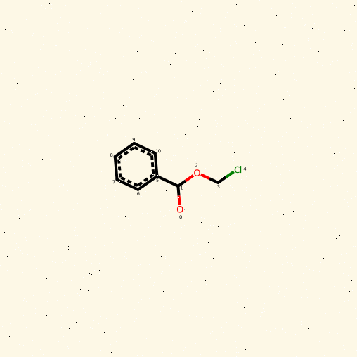 [O]C(OCCl)c1ccccc1